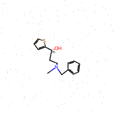 CN(CC[C@@H](O)c1cccs1)Cc1ccccc1